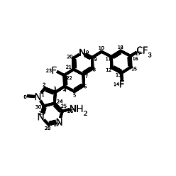 Cn1cc(-c2ccc3cc(Cc4cc(F)cc(C(F)(F)F)c4)ncc3c2F)c2c(N)ncnc21